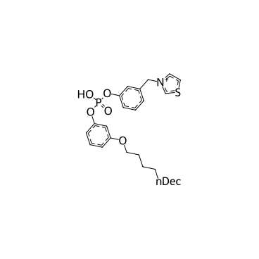 CCCCCCCCCCCCCCOc1cccc(OP(=O)(O)Oc2cccc(C[n+]3ccsc3)c2)c1